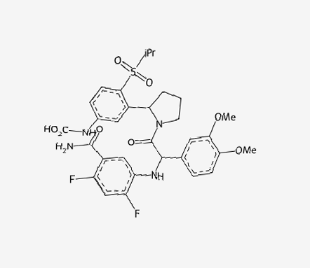 COc1ccc(C(Nc2cc(C(N)=O)c(F)cc2F)C(=O)N2CCCC2c2cc(NC(=O)O)ccc2S(=O)(=O)C(C)C)cc1OC